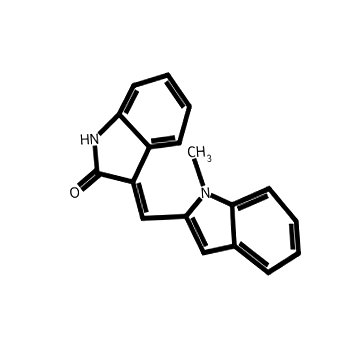 Cn1c(C=C2C(=O)Nc3ccccc32)cc2ccccc21